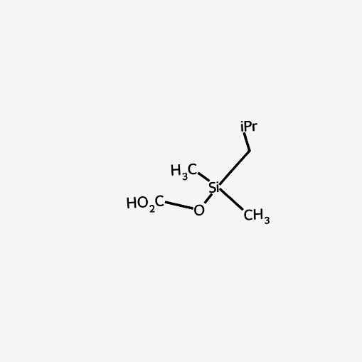 CC(C)C[Si](C)(C)OC(=O)O